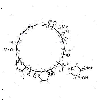 CO[C@H]1C[C@@H]2CC[C@@H](C)[C@@](O)(O2)C(=O)C(=O)N2CCCC[C@H]2C(=O)O[C@H]([C@H](C)C[C@H]2CC[C@@H](O)[C@H](OC)C2)CC(=O)[C@@H](C)/C=C(/C)[C@@H](O)[C@@H](OC)C(=O)[C@H](C)CC/C=C/C=C/C=C/1C